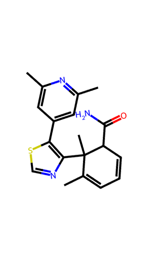 CC1=CC=CC(C(N)=O)C1(C)c1ncsc1-c1cc(C)nc(C)c1